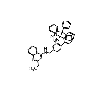 CCc1cc(NCc2ccc(-c3ccccc3C3(C(c4ccccc4)(c4ccccc4)c4ccccc4)N=NN=N3)cc2)c2ccccc2n1